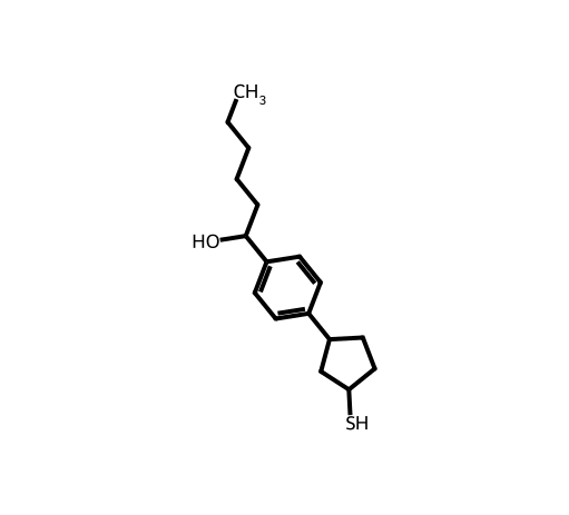 CCCCCC(O)c1ccc(C2CCC(S)C2)cc1